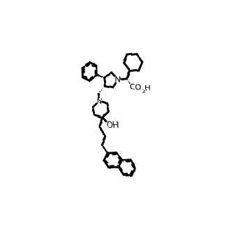 O=C(O)[C@@H](C1CCCCC1)N1C[C@H](CN2CCC(O)(CCCc3ccc4ccccc4c3)CC2)[C@@H](c2ccccc2)C1